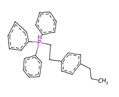 CCCc1ccc(CC[PH](c2ccccc2)(c2ccccc2)c2ccccc2)cc1